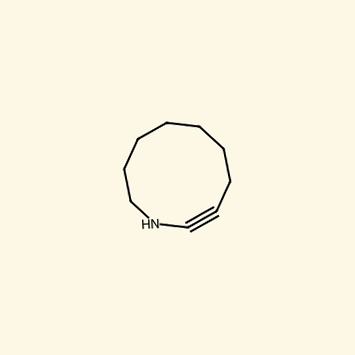 C1#CNCCCCCCC1